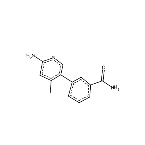 Cc1cc(N)ncc1-c1cccc(C(N)=O)c1